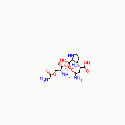 NC(=O)C[C@H](N)C(=O)O.NCC(=O)OC[C@H](N)C(=O)O.O=C(O)[C@@H]1CCCN1